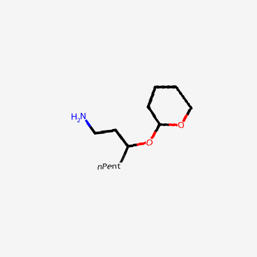 CCCCCC(CCN)OC1CCCCO1